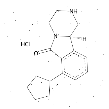 Cl.O=C1c2c(C3CCCC3)cccc2[C@@H]2CNCCN12